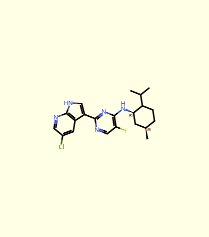 CC(C)C1CC[C@@H](C)C[C@H]1Nc1nc(-c2c[nH]c3ncc(Cl)cc23)ncc1F